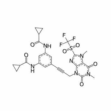 Cn1c(=O)c2c(nc(S(=O)(=O)C(F)(F)F)n2C)n(CC#Cc2cc(NC(=O)C3CC3)cc(NC(=O)C3CC3)c2)c1=O